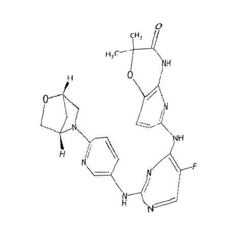 CC1(C)Oc2ccc(Nc3nc(Nc4ccc(N5C[C@@H]6C[C@H]5CO6)nc4)ncc3F)nc2NC1=O